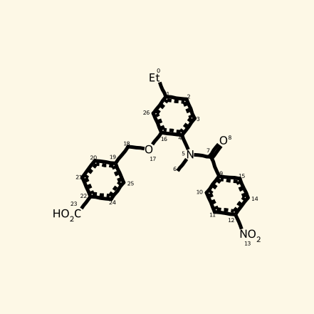 CCc1ccc(N(C)C(=O)c2ccc([N+](=O)[O-])cc2)c(OCc2ccc(C(=O)O)cc2)c1